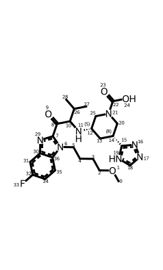 COCCCCn1c(C(=O)C(N[C@H]2C[C@@H](c3nnc[nH]3)CN(C(=O)O)C2)C(C)C)nc2cc(F)ccc21